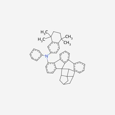 CC1(C)CCC(C)(C)c2cc(N(c3ccccc3)c3cccc4c3-c3cccc(-c5ccccc5)c3C43C4CC5CC6CC3C64C5)ccc21